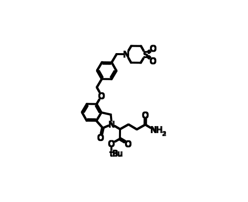 CC(C)(C)OC(=O)C(CCC(N)=O)N1Cc2c(OCc3ccc(CN4CCS(=O)(=O)CC4)cc3)cccc2C1=O